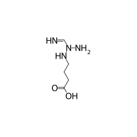 N=CN(N)NCCCC(=O)O